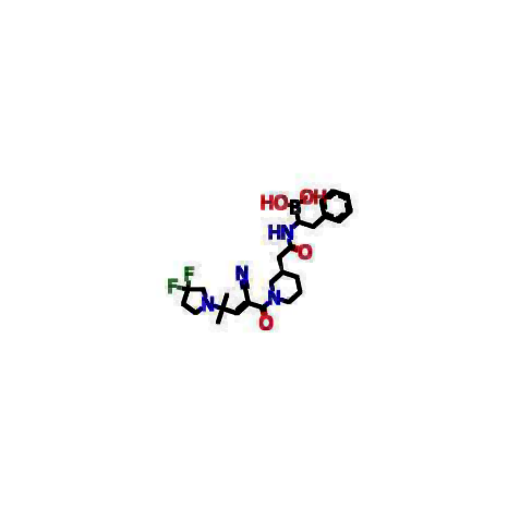 CC(C)(C=C(C#N)C(=O)N1CCC[C@H](CC(=O)NC(Cc2ccccc2)B(O)O)C1)N1CCC(F)(F)C1